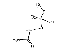 BOP(=O)(O)ONC(=N)N